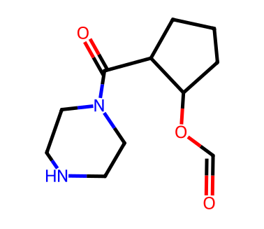 O=COC1CCCC1C(=O)N1CCNCC1